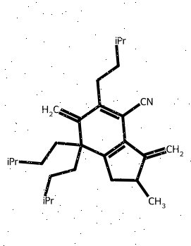 C=C1C2=C(CC1C)C(CCC(C)C)(CCC(C)C)C(=C)C(CCC(C)C)=C2C#N